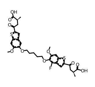 COc1cc2sc(C(=O)C[C@H](C)C(=O)O)cc2cc1OCCCCCOc1c(OC)cc2sc(C(=O)C[C@H](C)C(=O)O)cc2c1F